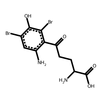 Nc1cc(Br)c(O)c(Br)c1C(=O)CCC(N)C(=O)O